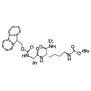 CCNC(=O)[C@H](CCCCNC(=O)OC(C)(C)C)NC(=O)[C@@H](NC(=O)OCC1c2ccccc2-c2ccccc21)C(C)C